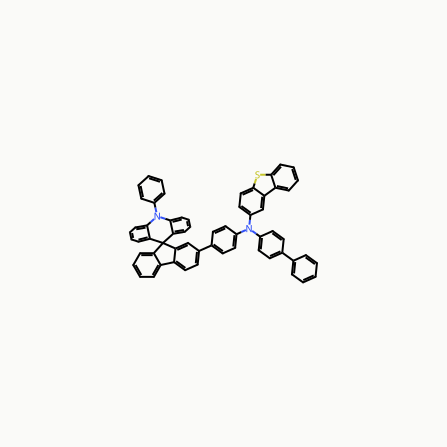 c1ccc(-c2ccc(N(c3ccc(-c4ccc5c(c4)C4(c6ccccc6-5)c5ccccc5N(c5ccccc5)c5ccccc54)cc3)c3ccc4sc5ccccc5c4c3)cc2)cc1